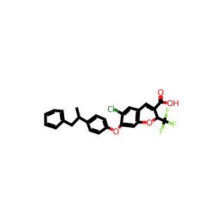 CC(Cc1ccccc1)c1ccc(Oc2cc3c(cc2Cl)C=C(C(=O)O)C(C(F)(F)F)O3)cc1